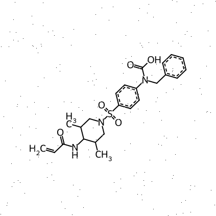 C=CC(=O)NC1C(C)CN(S(=O)(=O)c2ccc(N(Cc3ccccc3)C(=O)O)cc2)CC1C